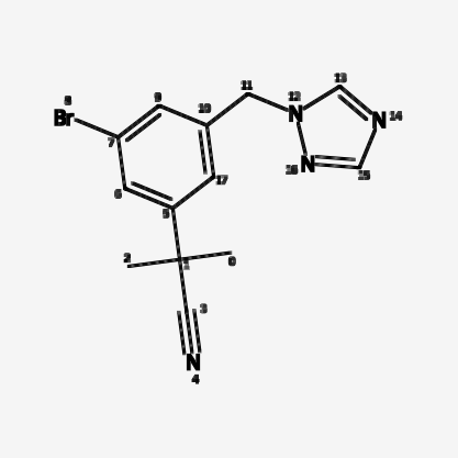 CC(C)(C#N)c1cc(Br)cc(Cn2cncn2)c1